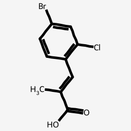 C/C(=C\c1ccc(Br)cc1Cl)C(=O)O